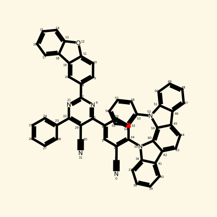 N#Cc1cc(-c2nc(-c3ccc4oc5ccccc5c4c3)nc(-c3ccccc3)c2C#N)ccc1-n1c2ccccc2c2ccc3c4ccccc4n(-c4ccccc4)c3c21